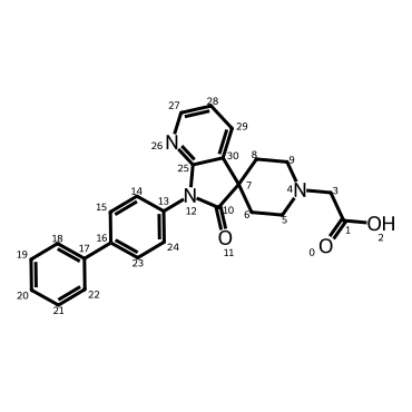 O=C(O)CN1CCC2(CC1)C(=O)N(c1ccc(-c3ccccc3)cc1)c1ncccc12